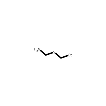 [CH2]CCSCN